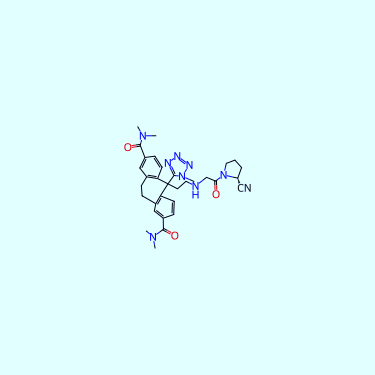 CN(C)C(=O)c1ccc2c(c1)CCc1cc(C(=O)N(C)C)ccc1C2(CCNCC(=O)N1CCC[C@H]1C#N)c1nnnn1C